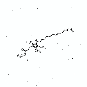 CCCCCCCCCCCC(=O)c1c(C)c(CCC(=O)OC)n(C)c1C